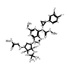 CCCSc1nc(N(C(=O)OC(C)(C)C)[C@@H]2C[C@H]2c2ccc(F)c(F)c2)c2nnn([C@@H]3C[C@H](OCC(=O)OC)[C@H]4OC(C)(C)O[C@H]43)c2n1